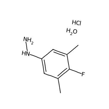 Cc1cc(NN)cc(C)c1F.Cl.O